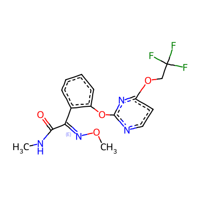 CNC(=O)/C(=N/OC)c1ccccc1Oc1nccc(OCC(F)(F)F)n1